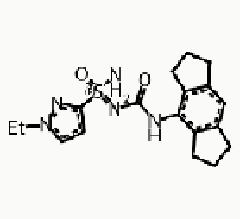 CCn1ccc([S@](N)(=O)=NC(=O)Nc2c3c(cc4c2CCC4)CCC3)n1